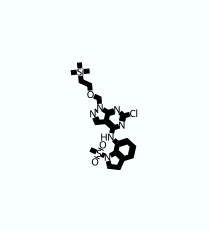 C[Si](C)(C)CCOCn1ncc2c(Nc3cccc4c3N(S(C)(=O)=O)CC4)nc(Cl)nc21